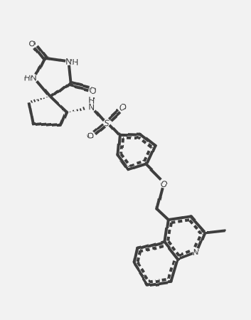 Cc1cc(COc2ccc(S(=O)(=O)N[C@@H]3CCC[C@@]34NC(=O)NC4=O)cc2)c2ccccc2n1